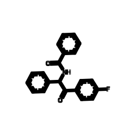 O=C(NC(C(=O)c1ccc(F)cc1)c1ccccc1)c1ccccc1